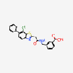 O=C(Cc1nc2ccc(-c3ccccc3)c(Cl)c2s1)NCc1cccc(C(=O)O)c1